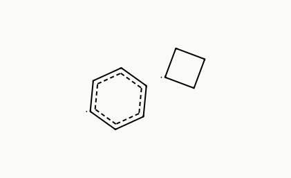 [CH]1CCC1.[c]1ccccc1